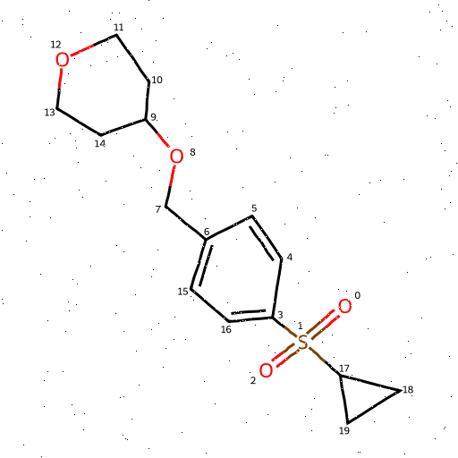 O=S(=O)(c1ccc(COC2CCOCC2)cc1)C1CC1